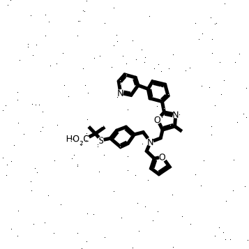 Cc1nc(-c2cccc(-c3cccnc3)c2)oc1CN(Cc1ccc(SC(C)(C)C(=O)O)cc1)Cc1ccco1